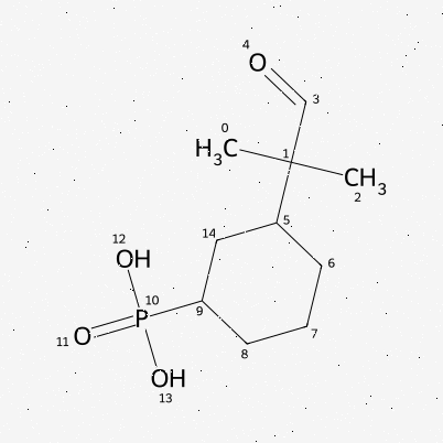 CC(C)(C=O)C1CCCC(P(=O)(O)O)C1